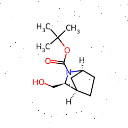 CC(C)(C)OC(=O)N1[C@H]2CC[C@H](C2)[C@H]1CO